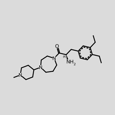 CCc1ccc(C[C@@H](N)C(=O)N2CCCN(C3CCN(C)CC3)CC2)cc1CC